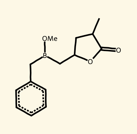 COB(Cc1ccccc1)CC1CC(C)C(=O)O1